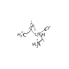 C=C(C)C(=O)O.NCCCl